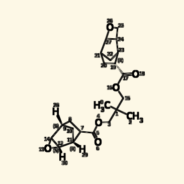 CC(C)(COC(=O)C1C[C@@H]2C[C@H]1[C@@H]1OC21)COC(=O)[C@@H]1CC2CC1C1COC21